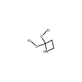 CCOC1(OCC)CCN1